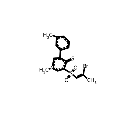 CC(Br)=CS(=O)(=O)c1cn(C)cc(-c2cccc(C)c2)c1=S